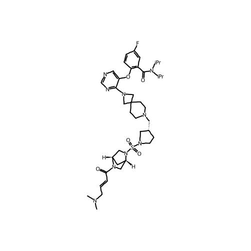 CC(C)N(C(=O)c1cc(F)ccc1Oc1cncnc1N1CC2(CCN(C[C@@H]3CCN(S(=O)(=O)N4C[C@@H]5C[C@H]4CN5C(=O)/C=C/CN(C)C)C3)CC2)C1)C(C)C